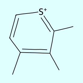 Cc1cc[s+]c(C)c1C